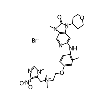 Cc1cc(OCC[N+](C)(C)Cc2c([N+](=O)[O-])ncn2C)ccc1Nc1cc2c(cn1)n(C)c(=O)n2C1CCOCC1.[Br-]